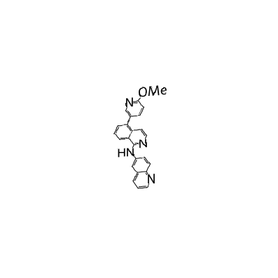 COc1ccc(-c2cccc3c(Nc4ccc5ncccc5c4)nccc23)cn1